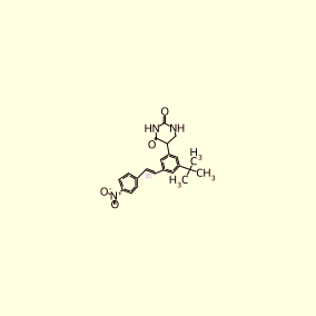 CC(C)(C)c1cc(/C=C/c2ccc([N+](=O)[O-])cc2)cc(C2CNC(=O)NC2=O)c1